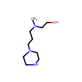 CN(CCO)CCCN1CCNCC1